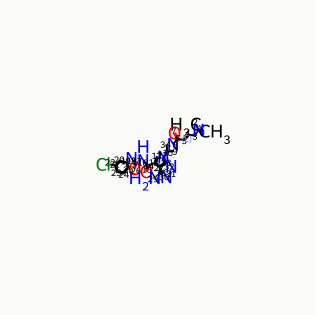 CN(C)C/C=C/C(=O)N1CC(n2cc(C(=O)Nc3nc4cc(Cl)ccc4o3)c3c(N)ncnc32)C1